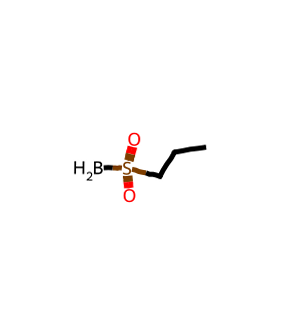 BS(=O)(=O)CCC